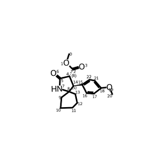 COC(=O)[C@H]1C(=O)NC2(CCCCC2)[C@@H]1c1ccc(OC)cc1